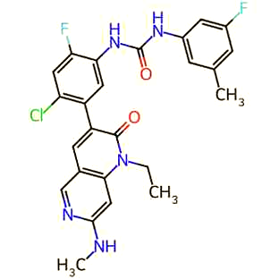 CCn1c(=O)c(-c2cc(NC(=O)Nc3cc(C)cc(F)c3)c(F)cc2Cl)cc2cnc(NC)cc21